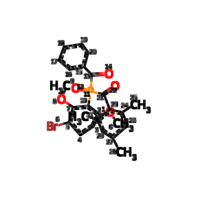 COc1ccc(Br)c(OC)c1P(=O)(C(=O)c1ccccc1)C(=O)c1c(C)cc(C)cc1C